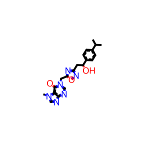 CC(C)c1ccc(C(O)Cc2noc(Cn3cnc4ncn(C)c4c3=O)n2)cc1